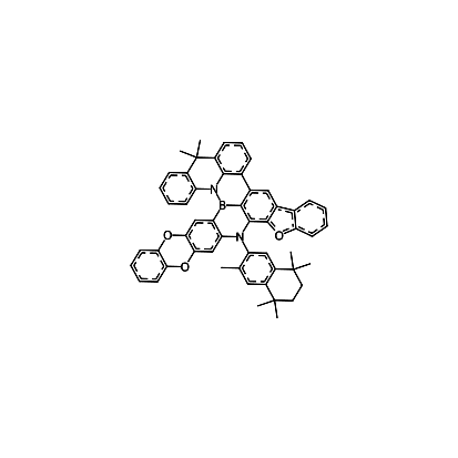 Cc1cc2c(cc1N1c3cc4c(cc3B3c5c(cc6c(oc7ccccc76)c51)-c1cccc5c1N3c1ccccc1C5(C)C)Oc1ccccc1O4)C(C)(C)CCC2(C)C